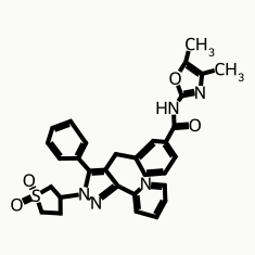 Cc1nc(NC(=O)c2cccc(Cc3c(-c4ccccn4)nn(C4CCS(=O)(=O)C4)c3-c3ccccc3)c2)oc1C